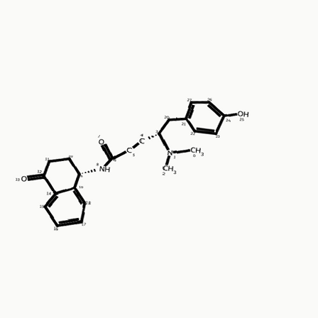 CN(C)[C@H](CCC(=O)N[C@H]1CCC(=O)c2ccccc21)Cc1ccc(O)cc1